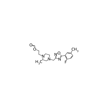 Cc1ccc(F)c(-c2nc(CN3CCN(CCOC=O)[C@H](C)C3)no2)c1